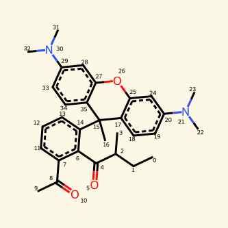 CCC(C)C(=O)c1c(C(C)=O)cccc1C1(C)c2ccc(N(C)C)cc2Oc2cc(N(C)C)ccc21